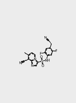 Cc1ccn2c(S(=O)(=O)Nc3cc(F)c(CC#N)cc3F)cnc2c1C#N